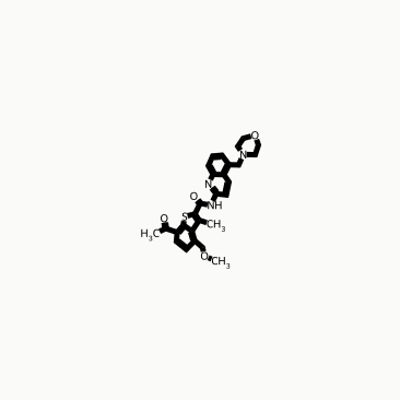 COCc1ccc(C(C)=O)c2sc(C(=O)Nc3ccc4c(CN5CCOCC5)cccc4n3)c(C)c12